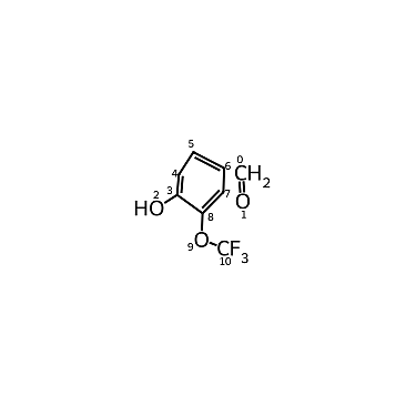 C=O.Oc1ccccc1OC(F)(F)F